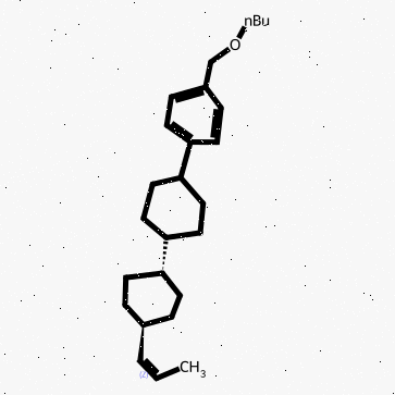 C/C=C\[C@H]1CC[C@H](C2CCC(c3ccc(COCCCC)cc3)CC2)CC1